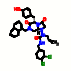 C=CCN(C(=O)NCc1ccc(Cl)c(Cl)c1)N1CC(=O)N2[C@@H](Cc3ccc(O)cc3)C(=O)N(Cc3cccc4ccccc34)C[C@@H]21